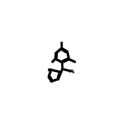 Cc1cc(C)c(C(N)c2ncc[nH]2)c(C)c1